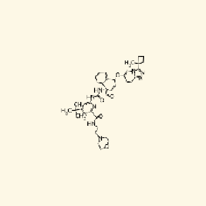 CC(C)(C)c1cc(NC(=O)N[C@@]2(C=O)C=C[C@@H](Oc3ccc4nnc(C5(C)CCC5)n4c3)c3ccccc32)nc(C(=O)NCCN2CCOCC2)n1